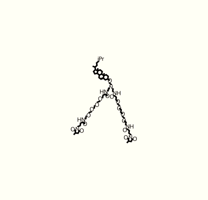 CC(C)CCCC(C)C1CCC2C3CC=C4CC(OCCN(CCNC(=O)CCOCCOCCOCCOCCNC(=O)CCCN5C(=O)CC(C)C5=O)CCNC(=O)CCOCCOCCOCCOCCNC(=O)CCCN5C(=O)CC(C)C5=O)CCC4(C)C3CCC12C